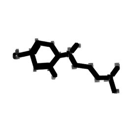 CC1=CC(Cl)=CCC1N(C)CCCN(C)C